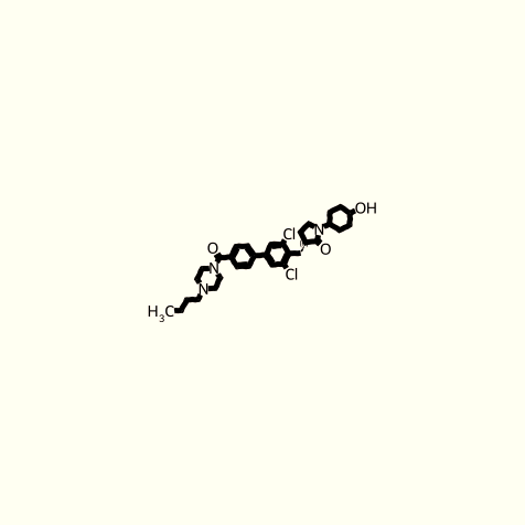 CCCCN1CCN(C(=O)c2ccc(-c3cc(Cl)c(C[C@@H]4CCN(C5CCC(O)CC5)C4=O)c(Cl)c3)cc2)CC1